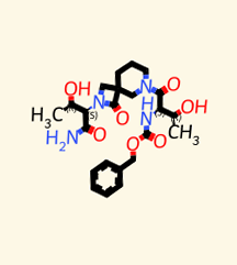 C[C@@H](O)[C@H](NC(=O)OCc1ccccc1)C(=O)N1CCCC2(C1)CN([C@H](C(N)=O)[C@@H](C)O)C2=O